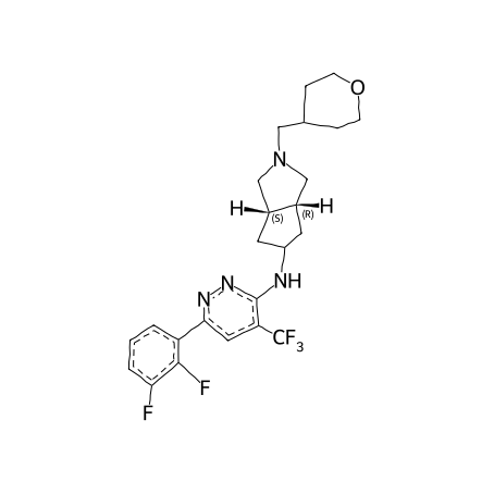 Fc1cccc(-c2cc(C(F)(F)F)c(NC3C[C@@H]4CN(CC5CCOCC5)C[C@@H]4C3)nn2)c1F